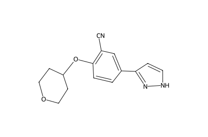 N#Cc1cc(-c2cc[nH]n2)ccc1OC1CCOCC1